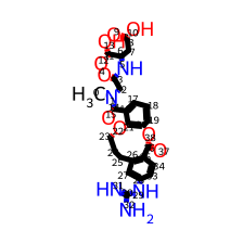 CN(CC(=O)NC(CC(=O)O)C(=O)O)C(=O)c1cccc2c1OCCCc1cc(NC(=N)N)ccc1C(=O)O2